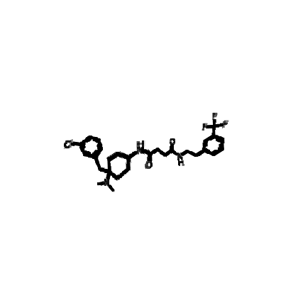 CN(C)C1(Cc2cccc(Cl)c2)CCC(NC(=O)CCC(=O)NCCc2cccc(C(F)(F)F)c2)CC1